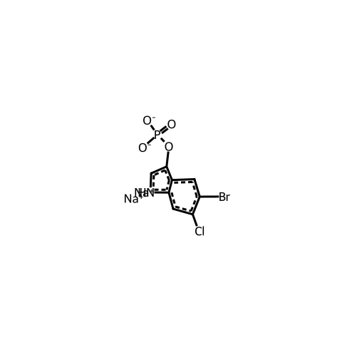 O=P([O-])([O-])Oc1c[nH]c2cc(Cl)c(Br)cc12.[Na+].[Na+]